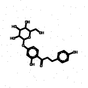 O=C(CCc1ccc(O)cc1)c1ccc(OC2OC(CO)C(O)C(O)C2O)cc1O